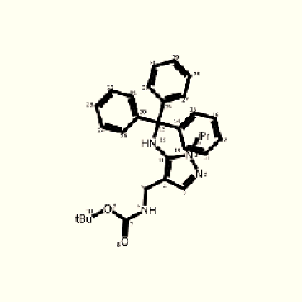 CC(C)n1ncc(CNC(=O)OC(C)(C)C)c1NC(c1ccccc1)(c1ccccc1)c1ccccc1